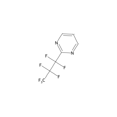 FC(F)(F)C(F)(F)C(F)(F)c1nc[c]cn1